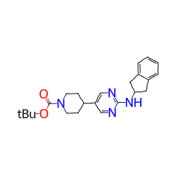 CC(C)(C)OC(=O)N1CCC(c2cnc(NC3Cc4ccccc4C3)nc2)CC1